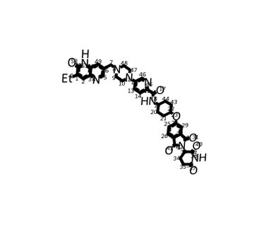 CCc1cc2ncc(CN3CCN(c4ccc(C(=O)NC5CCC(Oc6ccc7c(c6)C(=O)N(C6CCC(=O)NC6=O)C7=O)CC5)nc4)CC3)cc2[nH]c1=O